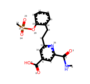 CNC(=O)c1cc(C(=O)O)cc(CCc2ccccc2OS(C)(=O)=O)n1